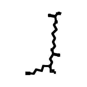 CCCC(=O)OCCCCCCOC(=O)CCN(C)CCCCO